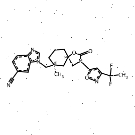 CC(F)(F)c1cc(N2C[C@@]3(CCC[C@](C)(Cn4cnc5ccc(C#N)cc54)C3)OC2=O)on1